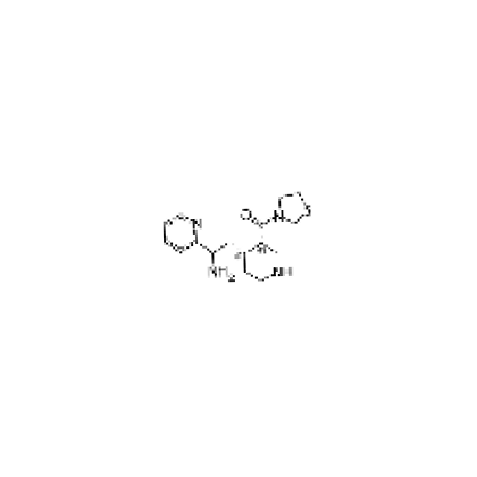 NC(C[C@H]1CCNC[C@H]1C(=O)N1CCSC1)c1ccccn1